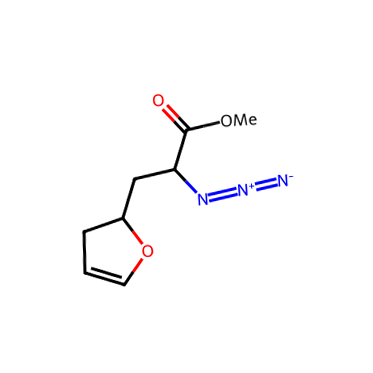 COC(=O)C(CC1CC=CO1)N=[N+]=[N-]